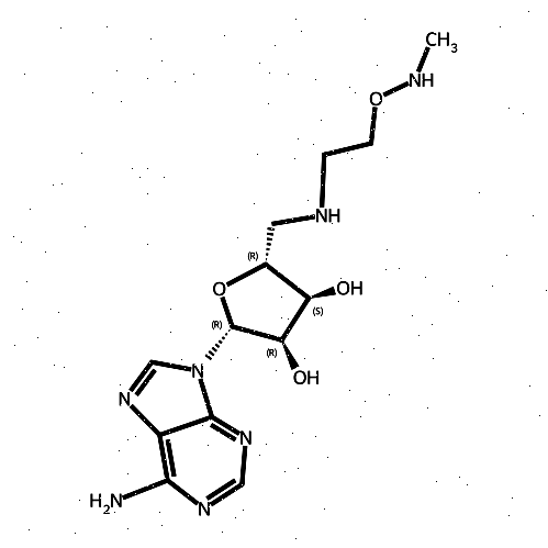 CNOCCNC[C@H]1O[C@@H](n2cnc3c(N)ncnc32)[C@H](O)[C@@H]1O